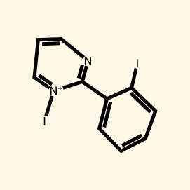 Ic1ccccc1-c1nccc[n+]1I